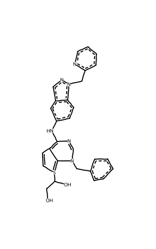 OCC(O)S1=C2C(=C(Nc3ccc4c(cnn4Cc4ccccn4)c3)N=CN2Cc2ccccc2)C=C1